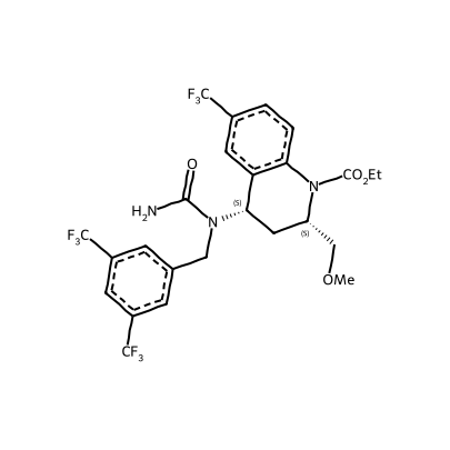 CCOC(=O)N1c2ccc(C(F)(F)F)cc2[C@@H](N(Cc2cc(C(F)(F)F)cc(C(F)(F)F)c2)C(N)=O)C[C@H]1COC